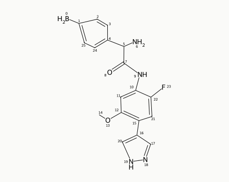 Bc1ccc(C(N)C(=O)Nc2cc(OC)c(-c3cn[nH]c3)cc2F)cc1